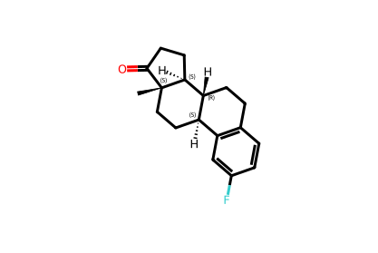 C[C@]12CC[C@@H]3c4cc(F)ccc4CC[C@H]3[C@@H]1CCC2=O